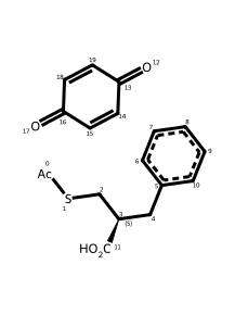 CC(=O)SC[C@@H](Cc1ccccc1)C(=O)O.O=C1C=CC(=O)C=C1